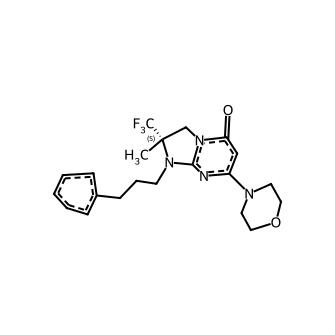 C[C@@]1(C(F)(F)F)Cn2c(nc(N3CCOCC3)cc2=O)N1CCCc1ccccc1